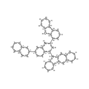 c1ccc2cc(-c3ccc4c(-n5c6ccccc6c6cc7ccccc7cc65)nc(-c5cccc6c5oc5ccccc56)nc4c3)ccc2c1